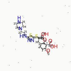 COc1ccc2c(c1C(=O)O)OB(O)[C@@H](Sc1nnc(NCCN3CCNCC3)s1)C2